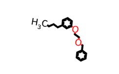 CCCCc1cccc(OCCOCc2ccccc2)c1